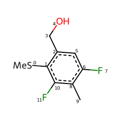 CSc1c(CO)cc(F)c(C)c1F